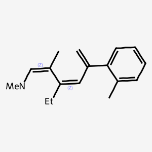 C=C(/C=C(CC)\C(C)=C/NC)c1ccccc1C